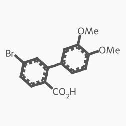 COc1ccc(-c2cc(Br)ccc2C(=O)O)cc1OC